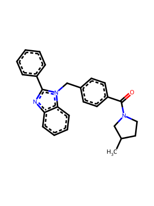 CC1CCN(C(=O)c2ccc(Cn3c(-c4ccccc4)nc4ccccc43)cc2)C1